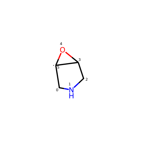 C1NCC2O[C]12